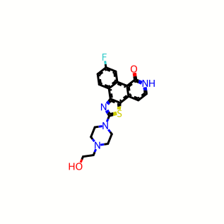 O=c1[nH]ccc2c3sc(N4CCN(CCO)CC4)nc3c3ccc(F)cc3c12